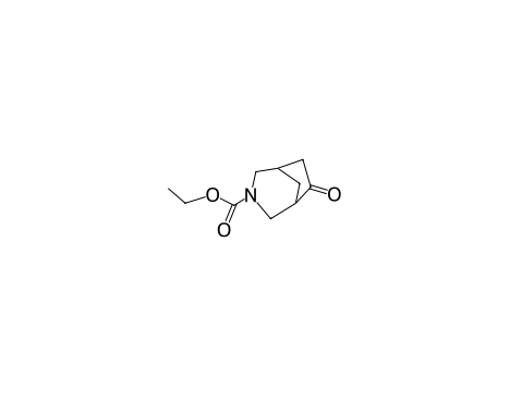 CCOC(=O)N1CC2CC(=O)C(C2)C1